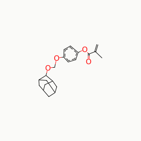 C=C(C)C(=O)Oc1ccc(OCOC2C3CC4CC(C3)CC2C4)cc1